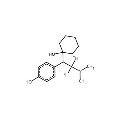 [2H]C([2H])(C(c1ccc(O)cc1)C1(O)CCCCC1)N(C)C